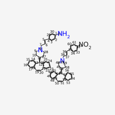 Nc1ccc(/C=C/CN2CCC(=C3c4ccccc4C=Cc4ccccc43)CC2)cc1.O=[N+]([O-])c1ccc(/C=C/CN2CCC(=C3c4ccccc4C=Cc4ccccc43)CC2)cc1